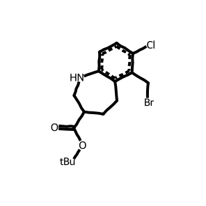 CC(C)(C)OC(=O)C1CCc2c(ccc(Cl)c2CBr)NC1